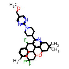 COCc1cnc(N2CCC(c3nc4c(c(C5CCC(F)(F)CC5)c3C(F)c3ccc(C)cc3)C(O)CC(C)(C)C4)CC2)nc1